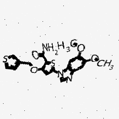 COc1cc2ncn(-c3cc(OCc4ccsc4)c(C(N)=O)s3)c2cc1OC